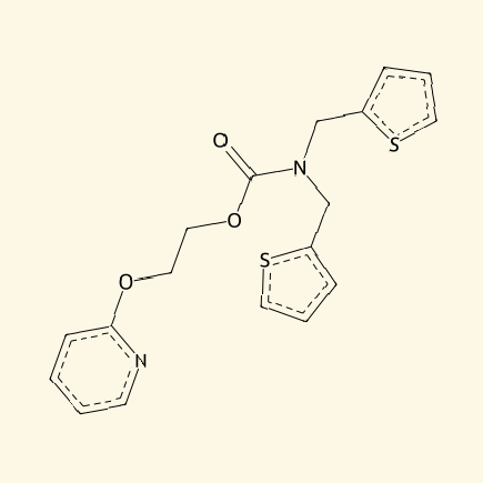 O=C(OCCOc1ccccn1)N(Cc1cccs1)Cc1cccs1